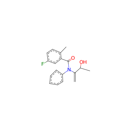 C=C(C(C)O)N(C(=O)c1cc(F)ccc1C)c1ccccc1